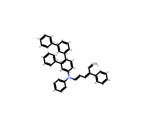 C=C/C(=C\C=C\N(c1ccccc1)c1ccc(-c2cccc(-c3ccccc3)c2)c(-c2ccccc2)c1)c1ccccc1